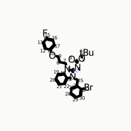 CC(C)(C)OC(=O)/N=c1\n(CCCOc2ccc(F)cc2)c2ccccc2n1Cc1ccccc1Br